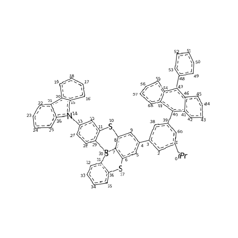 CC(C)c1cc(-c2cc3c4c(c2)Sc2cc(-n5c6ccccc6c6ccccc65)ccc2B4c2ccccc2S3)cc(-c2c3ccccc3c(-c3ccccc3)c3ccccc23)c1